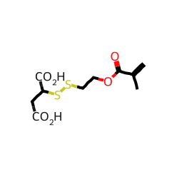 C=C(C)C(=O)OCCSSC(CC(=O)O)C(=O)O